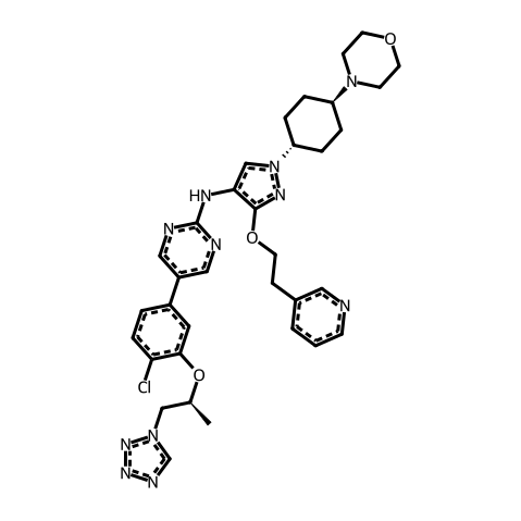 C[C@@H](Cn1cnnn1)Oc1cc(-c2cnc(Nc3cn([C@H]4CC[C@H](N5CCOCC5)CC4)nc3OCCc3cccnc3)nc2)ccc1Cl